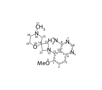 COc1ccc2ncnc(N)c2c1N1CC2(CN(C)CCO2)C1